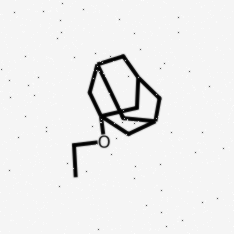 CCOC12CC3CC(CC(C3)C1)C2